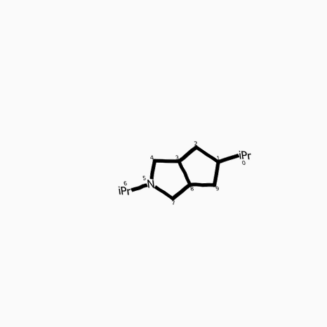 CC(C)C1CC2CN(C(C)C)CC2C1